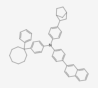 c1ccc(C2(c3ccc(N(c4ccc(-c5ccc6ccccc6c5)cc4)c4ccc(C5CC6CCC5C6)cc4)cc3)CCCCCCC2)cc1